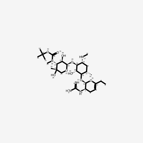 CCC1=CC[C@@H](NC(=N)N)[C@@H](OC2[C@@H](C)C[C@@H](NC)[C@H](O[C@H]3OC[C@](C)(O)[C@H](N(C)C(=O)OC(C)(C)C)[C@H]3O)[C@H]2O)O1